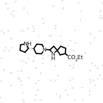 CCOC(=O)C1CCC2(C1)CC(N1CCC([C@@H]3CCCN3)CC1)N2